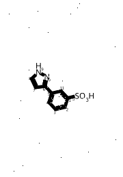 O=S(=O)(O)c1cccc(-c2cc[nH]n2)c1